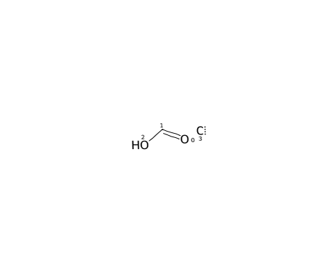 O=CO.[C]